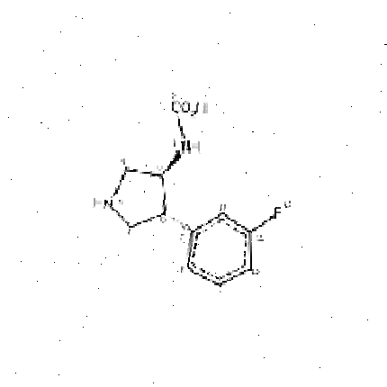 O=C(O)N[C@@H]1CNC[C@H]1c1cccc(F)c1